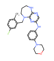 Fc1ccc(C(F)(F)F)c(CN2CCCNc3ncc(Nc4cccc(N5CCOCC5)c4)nc32)c1